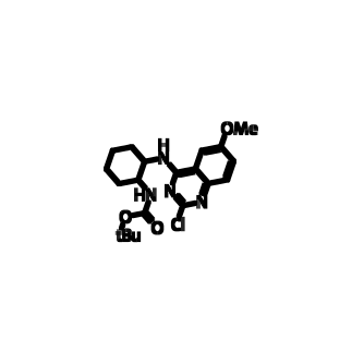 COc1ccc2nc(Cl)nc(NC3CCCCC3NC(=O)OC(C)(C)C)c2c1